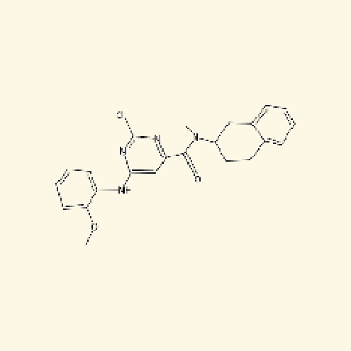 COc1ccccc1Nc1cc(C(=O)N(C)C2CCc3ccccc3C2)nc(Cl)n1